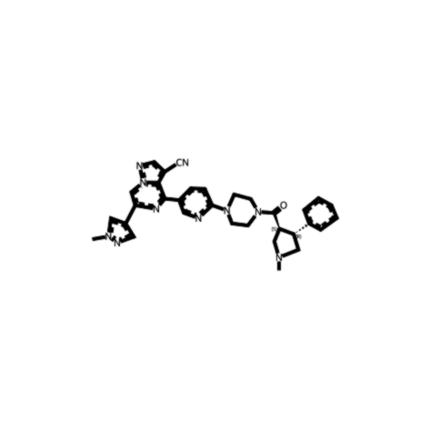 CN1C[C@@H](C(=O)N2CCN(c3ccc(-c4nc(-c5cnn(C)c5)cn5ncc(C#N)c45)cn3)CC2)[C@H](c2ccccc2)C1